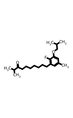 Cc1cc(CCCCCCCC(=O)C(C)C)c(F)c(OCC(C)C)c1